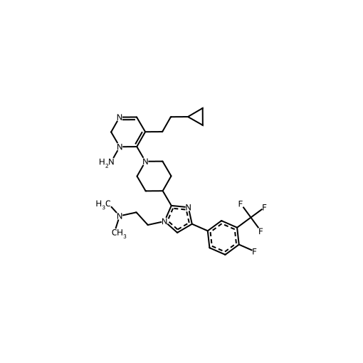 CN(C)CCn1cc(-c2ccc(F)c(C(F)(F)F)c2)nc1C1CCN(C2=C(CCC3CC3)C=NCN2N)CC1